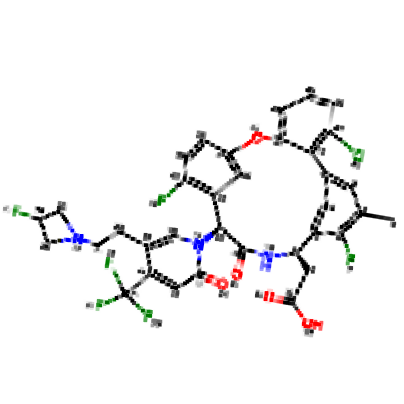 Cc1cc2cc(c1F)[C@@H](CC(=O)O)NC(=O)[C@@H](n1cc(CCN3CC(F)C3)c(C(F)(F)F)cc1=O)c1cc(ccc1F)Oc1cccc(Cl)c1-2